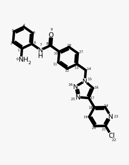 Nc1ccccc1NC(=O)c1ccc(Cn2cc(-c3ccc(Cl)nc3)nn2)cc1